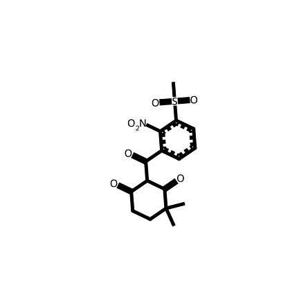 CC1(C)CCC(=O)C(C(=O)c2cccc(S(C)(=O)=O)c2[N+](=O)[O-])C1=O